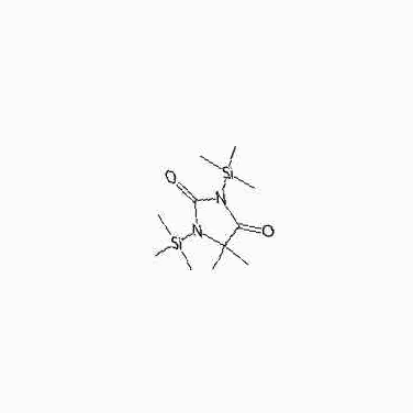 CC1(C)C(=O)N([Si](C)(C)C)C(=O)N1[Si](C)(C)C